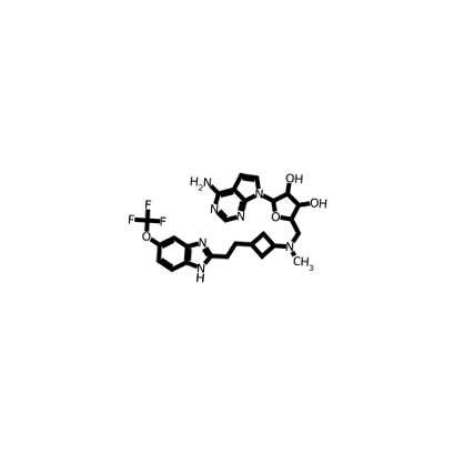 CN(CC1OC(n2ccc3c(N)ncnc32)C(O)C1O)C1CC(CCc2nc3cc(OC(F)(F)F)ccc3[nH]2)C1